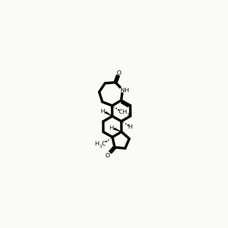 C[C@]12CCCC(=O)NC1=CC[C@@H]1[C@@H]2CC[C@]2(C)C(=O)CC[C@@H]12